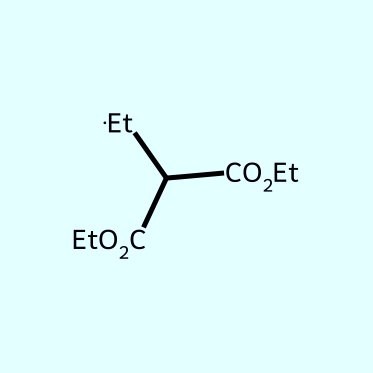 C[CH]C(C(=O)OCC)C(=O)OCC